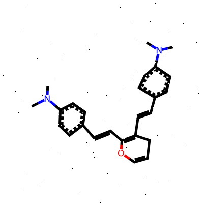 CN(C)c1ccc(C=CC2=C(C=Cc3ccc(N(C)C)cc3)OC=CC2)cc1